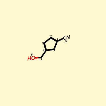 N#CC1CCC(CO)C1